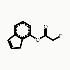 O=C(CF)Oc1cccc2c1CC=C2